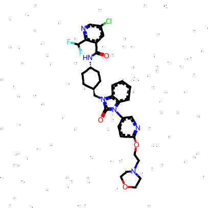 O=C(N[C@H]1CC[C@H](Cn2c(=O)n(-c3ccc(OCCN4CCOCC4)nc3)c3ccccc32)CC1)c1cc(Cl)cnc1C(F)F